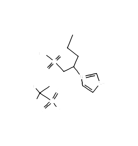 CCCC(CS(=O)(=O)O)[n+]1cc[nH]c1.O=S(=O)([O-])C(F)(F)F